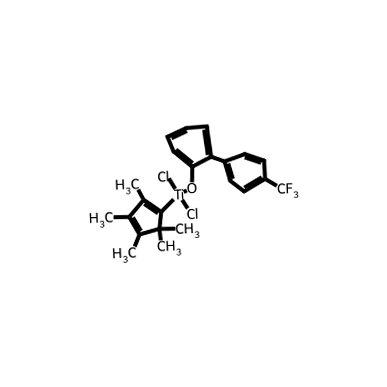 CC1=C(C)C(C)(C)[C]([Ti]([Cl])([Cl])[O]c2ccccc2-c2ccc(C(F)(F)F)cc2)=C1C